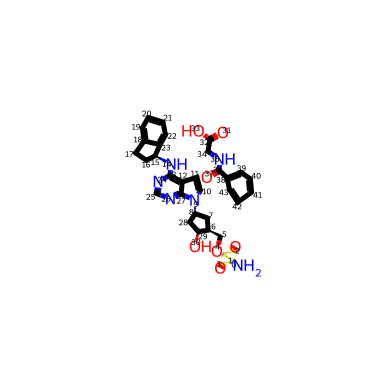 NS(=O)(=O)OC[C@@H]1C[C@@H](n2ccc3c(N[C@H]4CCc5ccccc54)ncnc32)C[C@@H]1O.O=C(O)CNC(=O)c1ccccc1